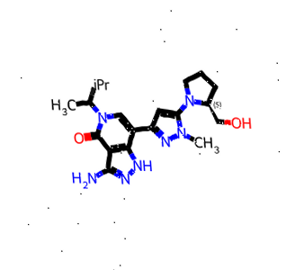 CC(C)C(C)n1cc(-c2cc(N3CCC[C@H]3CO)n(C)n2)c2[nH]nc(N)c2c1=O